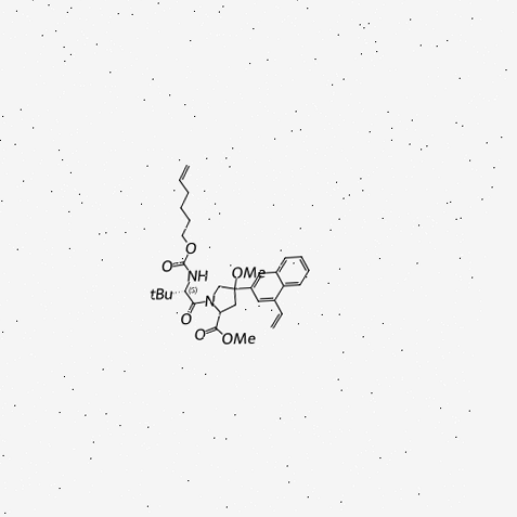 C=CCCCCOC(=O)N[C@H](C(=O)N1CC(OC)(c2cc(C=C)c3ccccc3c2)CC1C(=O)OC)C(C)(C)C